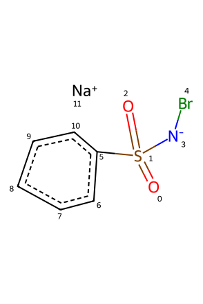 O=S(=O)([N-]Br)c1ccccc1.[Na+]